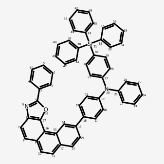 c1ccc(-c2nc3ccc4ccc5ccc(-c6ccc(N(c7ccccc7)c7ccc([Si](c8ccccc8)(c8ccccc8)c8ccccc8)cc7)cc6)cc5c4c3o2)cc1